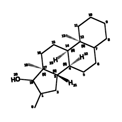 CC1C[C@H]2[C@@H]3CCC4CCCC[C@]4(C)[C@@H]3CC[C@]2(C)C1O